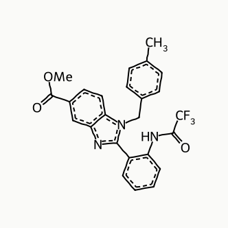 COC(=O)c1ccc2c(c1)nc(-c1ccccc1NC(=O)C(F)(F)F)n2Cc1ccc(C)cc1